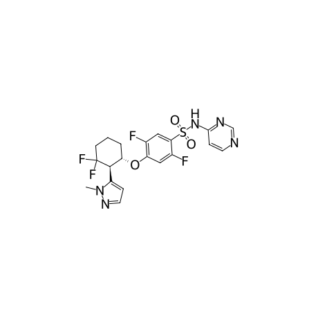 Cn1nccc1[C@@H]1[C@@H](Oc2cc(F)c(S(=O)(=O)Nc3ccncn3)cc2F)CCCC1(F)F